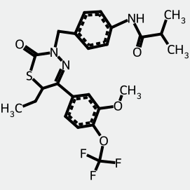 CCC1SC(=O)N(Cc2ccc(NC(=O)C(C)C)cc2)N=C1c1ccc(OC(F)(F)F)c(OC)c1